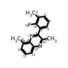 Cc1cccc(-c2nc3c(C)cccc3nc2C)c1F